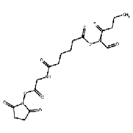 CCCC(=O)N(C=O)OC(=O)CCCCC(=O)NCC(=O)ON1C(=O)CCC1=O